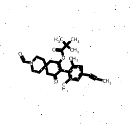 CC#Cc1cc(C)c(C2=C(OC(=O)C(C)(C)C)CC3(CCN(C=O)CC3)CC2=O)c(C)c1